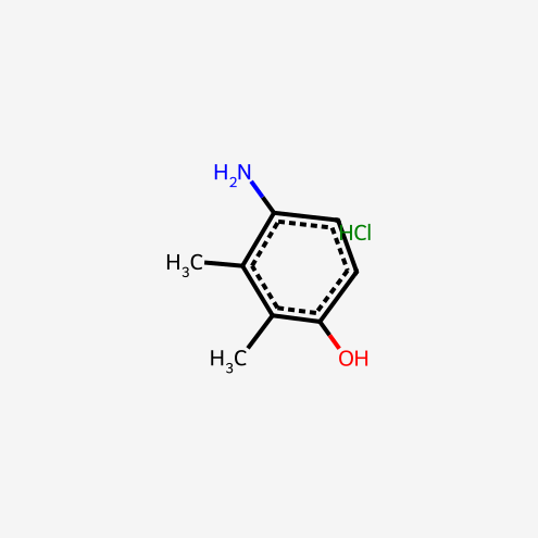 Cc1c(N)ccc(O)c1C.Cl